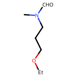 CCOCCCN(C)C=O